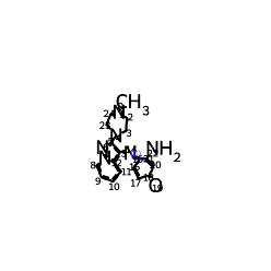 CN1CCN(c2nn3ccccc3c2/N=C2\C=CC(=O)C=C2N)CC1